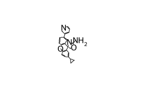 NC1=N[C@@]2(CO1)c1cc(-c3cccnc3)ccc1Oc1ccc(C3CC3)cc12